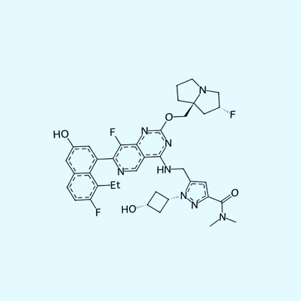 CCc1c(F)ccc2cc(O)cc(-c3ncc4c(NCc5cc(C(=O)N(C)C)nn5[C@H]5C[C@@H](O)C5)nc(OC[C@@]56CCCN5C[C@H](F)C6)nc4c3F)c12